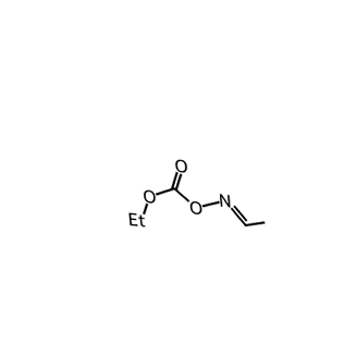 CC=NOC(=O)OCC